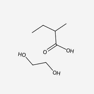 CCC(C)C(=O)O.OCCO